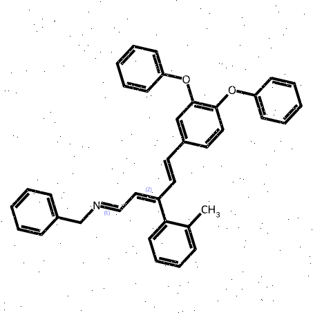 Cc1ccccc1/C(C=Cc1ccc(Oc2ccccc2)c(Oc2ccccc2)c1)=C\C=N\Cc1ccccc1